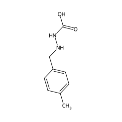 Cc1ccc(CNNC(=O)O)cc1